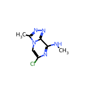 CNc1nc(Cl)cn2c(C)nnc12